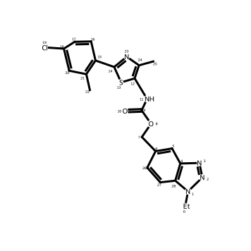 CCn1nnc2cc(COC(=O)Nc3sc(-c4ccc(Cl)cc4C)nc3C)ccc21